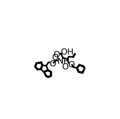 C=CCC(C(=O)OCc1ccccc1)[C@H](NC(=O)OCC1c2ccccc2-c2ccccc21)C(=O)O